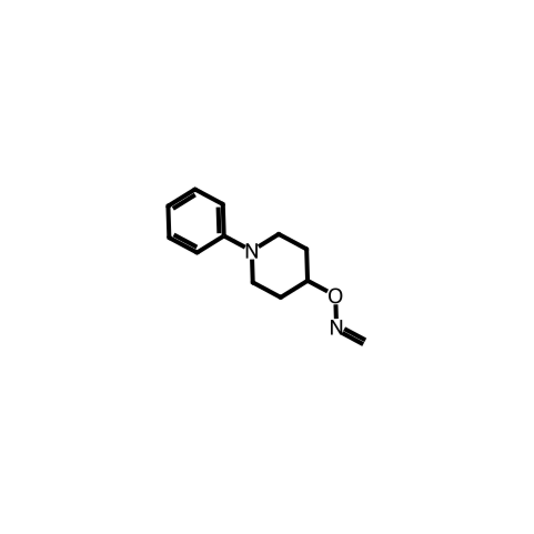 C=NOC1CCN(c2ccccc2)CC1